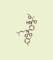 CCOC(C)C(=O)Nc1cccc(N(CC=CC(C)C)C(=O)Oc2ccc(C)cc2C)c1